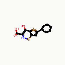 O=C(O)C1=C(O)c2sc(-c3ccccc3)cc2SN1